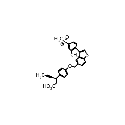 CC#CC(CC(=O)O)c1ccc(OCc2ccc3scc(-c4ccc(S(C)(=O)=O)cc4C)c3c2)cc1